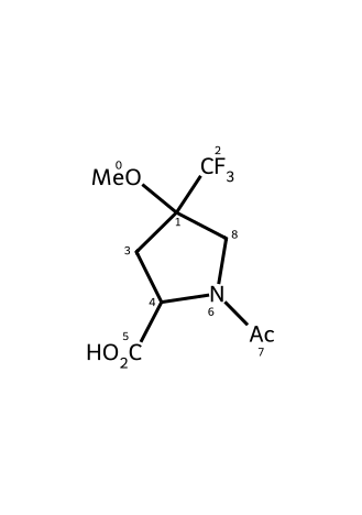 COC1(C(F)(F)F)CC(C(=O)O)N(C(C)=O)C1